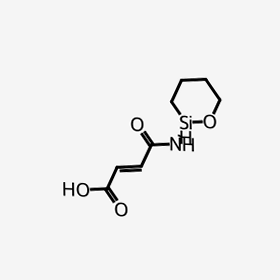 O=C(O)C=CC(=O)N[SiH]1CCCCO1